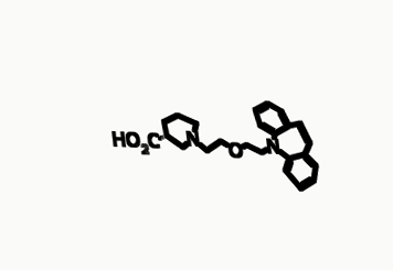 O=C(O)[C@@H]1CCCN(CCOCCN2c3ccccc3C=Cc3ccccc32)C1